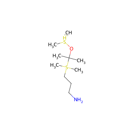 C#[SH](C)OC(C)(C)S(C)(C)CCCN